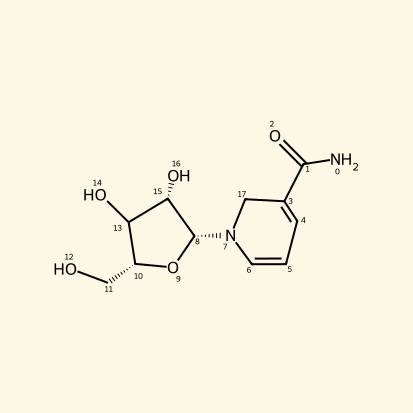 NC(=O)C1=CC=CN([C@@H]2O[C@H](CO)C(O)[C@@H]2O)C1